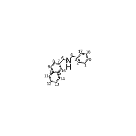 c1ccc(CNCc2ccc3ccccc3c2)cc1